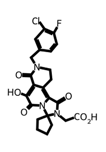 O=C(O)CN1C(=O)c2c3c(c(O)c(=O)n2C12CCCC2)C(=O)N(Cc1ccc(F)c(Cl)c1)CC3